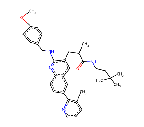 COc1ccc(CNc2nc3ccc(-c4ncccc4C)cc3cc2CC(C)C(=O)NCCC(C)(C)C)cc1